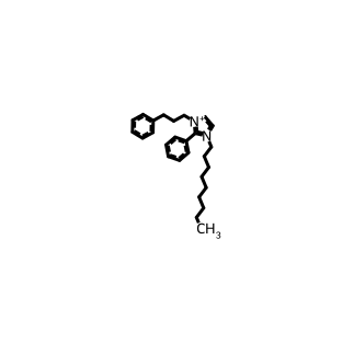 CCCCCCCCCn1cc[n+](CCCc2ccccc2)c1-c1ccccc1